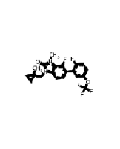 Cn1c(=O)n(CC2(C)CC2)c2ccc(-c3cc(OC(F)(F)F)ccc3F)c(F)c21